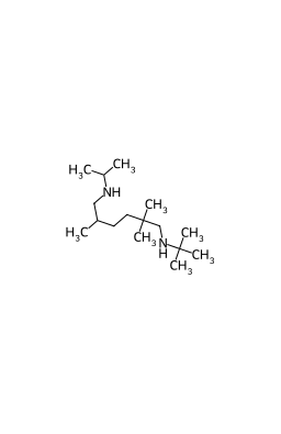 CC(CCC(C)(C)CNC(C)(C)C)CNC(C)C